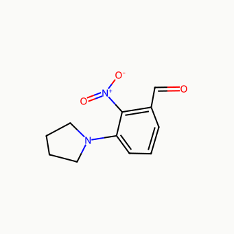 O=Cc1cccc(N2CCCC2)c1[N+](=O)[O-]